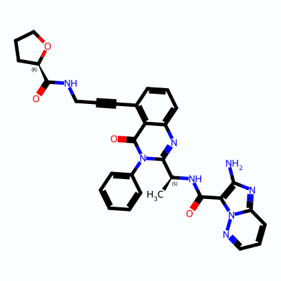 C[C@H](NC(=O)c1c(N)nc2cccnn12)c1nc2cccc(C#CCNC(=O)[C@H]3CCCO3)c2c(=O)n1-c1ccccc1